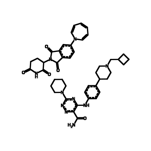 NC(=O)c1nnc(N2CCCCC2)nc1Nc1ccc(C2CCN(CC3CCC3)CC2)cc1.O=C1CCC(N2C(=O)c3ccc(N4C=CC=CC=C4)cc3C2=O)C(=O)N1